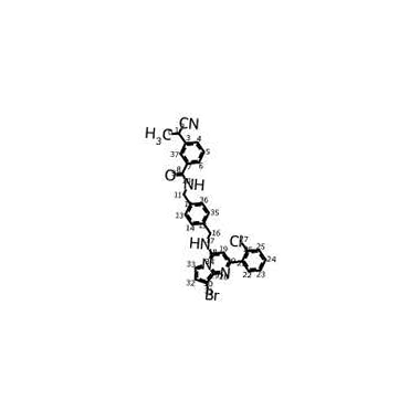 CC(C#N)c1cccc(C(=O)NCc2ccc(CNc3cc(-c4ccccc4Cl)nc4c(Br)ccn34)cc2)c1